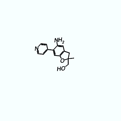 CC1(CO)Cc2cc(N)c(-c3ccncc3)cc2O1